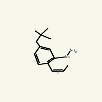 C/C=C\c1ccc(CC(C)(C)C)cc1NN